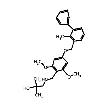 COc1cc(OCc2cccc(-c3ccccc3)c2C)cc(OC)c1CNCC(C)(C)O